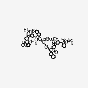 CCCCC(CC)Cn1c2ccc(C(=O)c3c(OCCOCCOCCOc4ccc5ccccc5c4C(=O)c4ccc5c(c4)c4cc(/C(=N/OC(C)=O)c6ccccc6C)ccc4n5CC(CC)CCCC)ccc4ccccc34)cc2c2cc(/C(=N/OC(C)=O)c3ccccc3C)ccc21